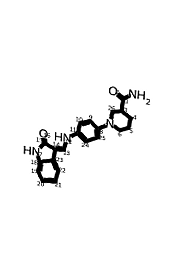 NC(=O)C1CCCN(c2ccc(NC=C3C(=O)Nc4ccccc43)cc2)C1